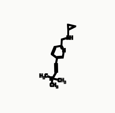 C[Si](C)(C)C#Cc1ccc(CNC2CC2)nc1